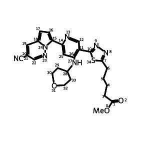 COC(=O)CCCCc1nnc(-c2cnc(-c3ccc4cc(C#N)cnn34)cc2NC2CCOCC2)s1